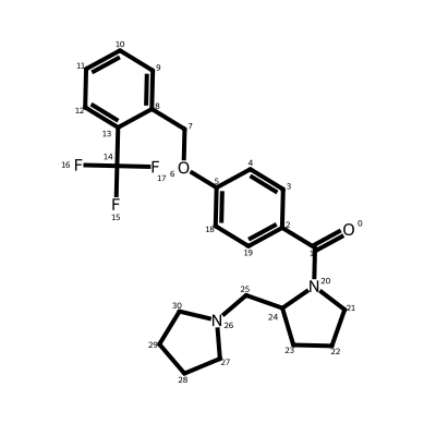 O=C(c1ccc(OCc2ccccc2C(F)(F)F)cc1)N1CCCC1CN1CCCC1